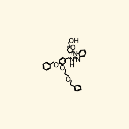 OC[C@@H]1CC[C@H](n2c(NCc3ccc(OCc4ccccc4)c(OCCCOCCc4ccccc4)c3)nc3ccccc32)O1